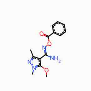 COc1c(/C(N)=N/OC(=O)c2ccccc2)c(C)nn1C